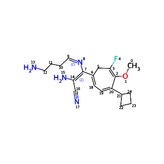 COC1=C(F)CC(C(/N=C\CCCN)=C(/N)C#N)=CC=C1C1CCC1